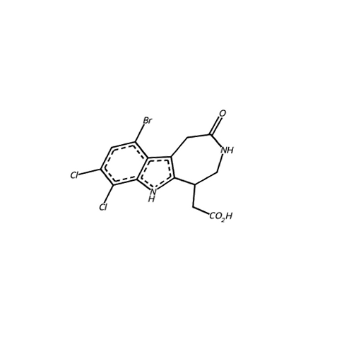 O=C(O)CC1CNC(=O)Cc2c1[nH]c1c(Cl)c(Cl)cc(Br)c21